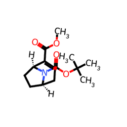 COC(=O)C1=CC[C@H]2CC[C@@H]1N2C(=O)OC(C)(C)C